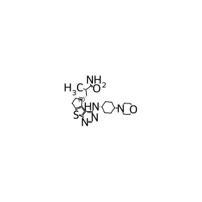 CC(C[C@H]1CCc2sc3ncnc(N[C@H]4CC[C@H](N5CCOCC5)CC4)c3c21)C(N)=O